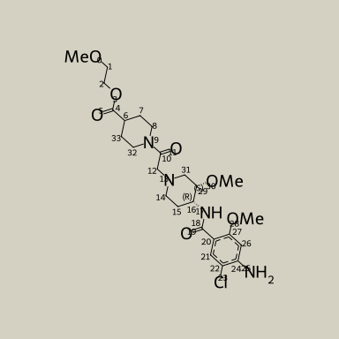 COCCOC(=O)C1CCN(C(=O)CN2CC[C@@H](NC(=O)c3cc(Cl)c(N)cc3OC)[C@@H](OC)C2)CC1